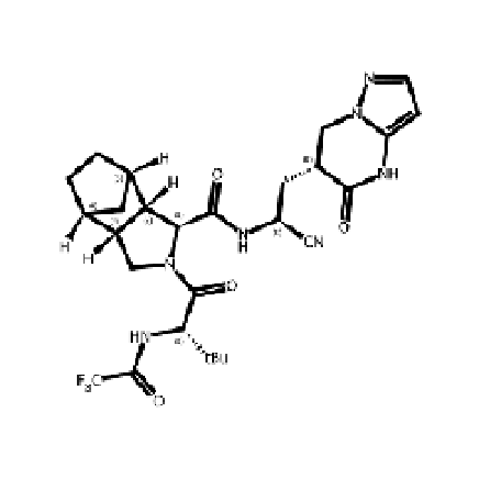 CC(C)(C)[C@H](NC(=O)C(F)(F)F)C(=O)N1C[C@@H]2[C@@H]3CC[C@@H](C3)[C@@H]2[C@H]1C(=O)N[C@H](C#N)C[C@@H]1Cn2nccc2NC1=O